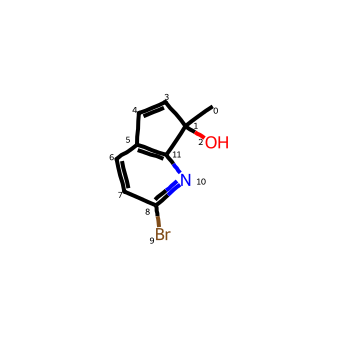 CC1(O)C=Cc2ccc(Br)nc21